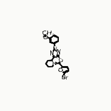 COc1cccc(-n2nnc(C3CCCCN3C(=O)c3ccc(Br)o3)n2)c1